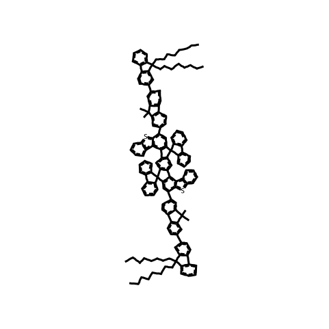 CCCCCCCCC1(CCCCCCCC)c2ccccc2-c2ccc(-c3ccc4c(c3)C(C)(C)c3cc(-c5cc6c(c7c5sc5ccccc57)-c5cc7c(cc5C65c6ccccc6-c6ccccc65)-c5c(cc(-c6ccc8c(c6)C(C)(C)c6cc(-c9ccc%10c(c9)C(CCCCCCCC)(CCCCCCCC)c9ccccc9-%10)ccc6-8)c6sc8ccccc8c56)C75c6ccccc6-c6ccccc65)ccc3-4)cc21